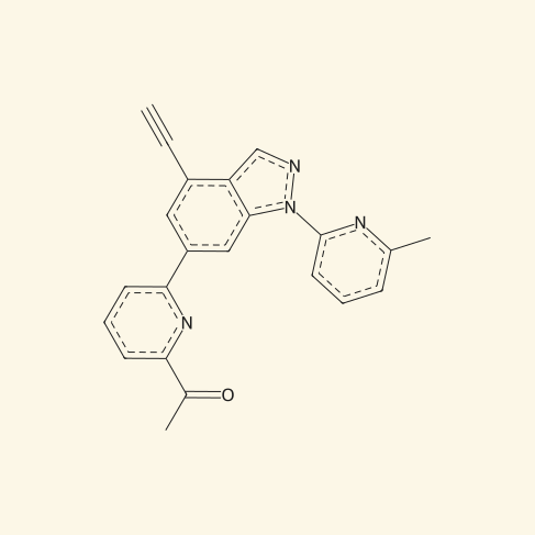 C#Cc1cc(-c2cccc(C(C)=O)n2)cc2c1cnn2-c1cccc(C)n1